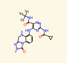 [2H]C([2H])([2H])NC(=O)c1nnc(NC(=O)C2CC2)nc1Nc1cccc2c1N(C)Cc1nn(C)c(=O)n1-2